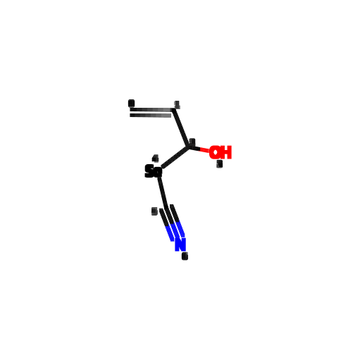 C=CC(O)[Se]C#N